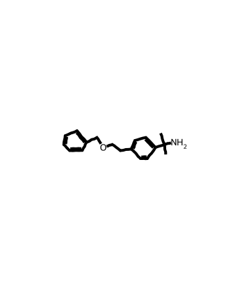 CC(C)(N)c1ccc(CCOCc2ccccc2)cc1